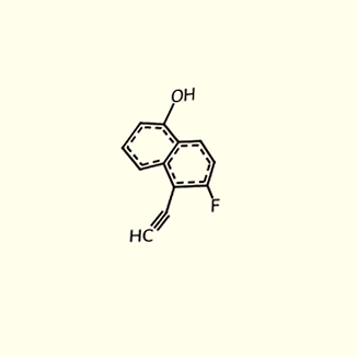 C#Cc1c(F)ccc2c(O)cccc12